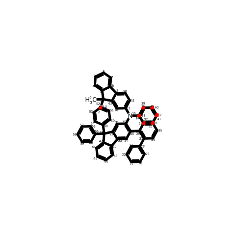 CC1(C)c2ccccc2-c2ccc(N(c3ccccc3)c3cc4c(cc3-c3c(-c5ccccc5)ccc5c3CCCC5)-c3ccccc3C4(c3ccccc3)c3ccccc3)cc21